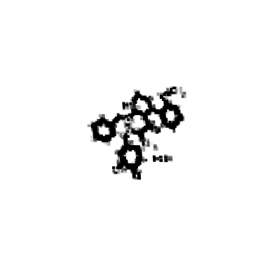 COc1ccccc1C1CCNC(NCc2ccccc2)C1C(=O)C(C)OCc1ccc(Cl)c(Cl)c1.Cl